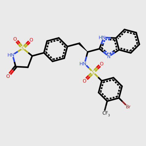 O=C1CC(c2ccc(C[C@H](NS(=O)(=O)c3ccc(Br)c(C(F)(F)F)c3)c3nc4ccccc4[nH]3)cc2)S(=O)(=O)N1